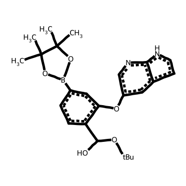 CC(C)(C)OC(O)c1ccc(B2OC(C)(C)C(C)(C)O2)cc1Oc1cnc2[nH]ccc2c1